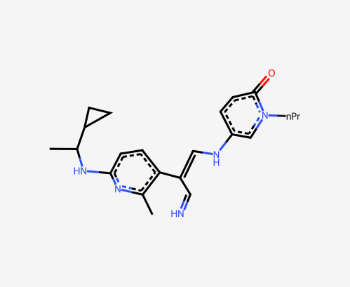 CCCn1cc(N/C=C(\C=N)c2ccc(NC(C)C3CC3)nc2C)ccc1=O